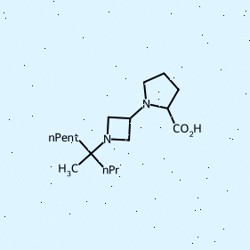 CCCCCC(C)(CCC)N1CC(N2CCCC2C(=O)O)C1